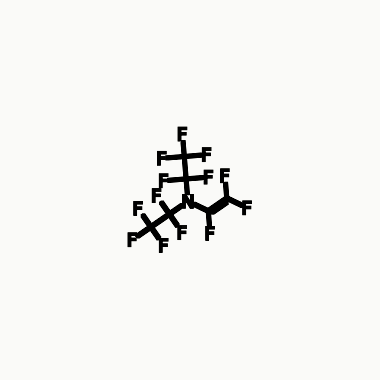 FC(F)=C(F)N(C(F)(F)C(F)(F)F)C(F)(F)C(F)(F)F